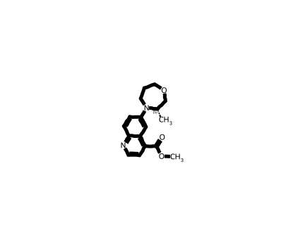 COC(=O)c1ccnc2ccc(N3CCCOC[C@@H]3C)cc12